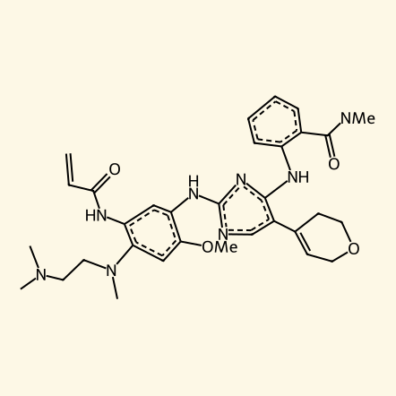 C=CC(=O)Nc1cc(Nc2ncc(C3=CCOCC3)c(Nc3ccccc3C(=O)NC)n2)c(OC)cc1N(C)CCN(C)C